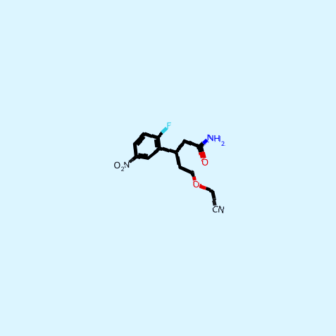 N#CCOCC[C](CC(N)=O)c1cc([N+](=O)[O-])ccc1F